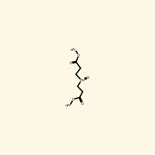 CCCOC(=O)CC[PH](=O)CCC(=O)OCCC